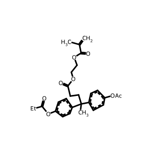 C=C(C)C(=O)OCCOC(=O)CCC(C)(c1ccc(OC(C)=O)cc1)c1ccc(OC(=O)CC)cc1